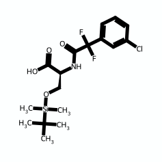 CC(C)(C)[Si](C)(C)OC[C@H](NC(=O)C(F)(F)c1cccc(Cl)c1)C(=O)O